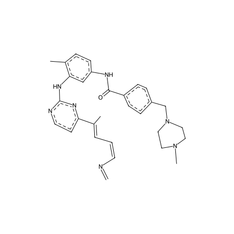 C=N/C=C\C=C(/C)c1ccnc(Nc2cc(NC(=O)c3ccc(CN4CCN(C)CC4)cc3)ccc2C)n1